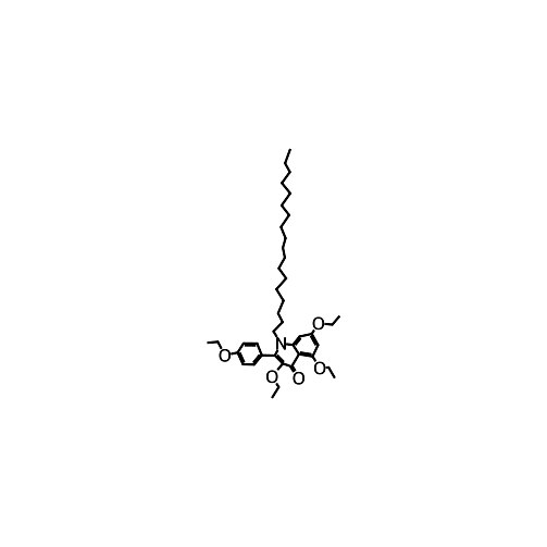 CCCCCCCCCCCCCCCCCCn1c(-c2ccc(OCC)cc2)c(OCC)c(=O)c2c(OCC)cc(OCC)cc21